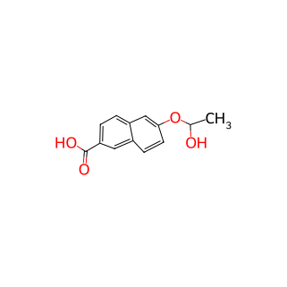 CC(O)Oc1ccc2cc(C(=O)O)ccc2c1